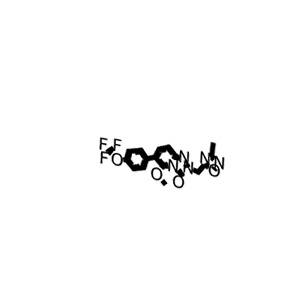 COc1c(-c2ccc(OC(F)(F)F)cc2)ccc2nn(Cc3nc(C)no3)c(=O)n12